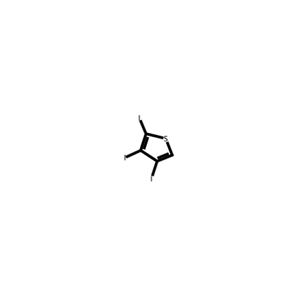 Ic1csc(I)c1I